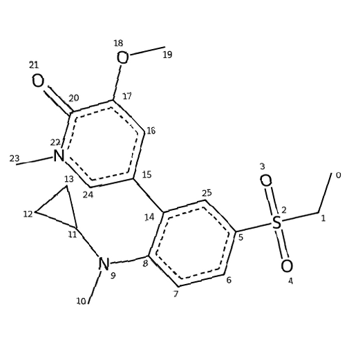 CCS(=O)(=O)c1ccc(N(C)C2CC2)c(-c2cc(OC)c(=O)n(C)c2)c1